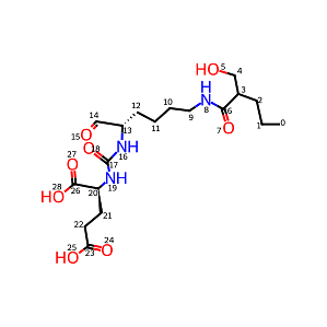 CCCC(CO)C(=O)NCCCC[C@@H](C=O)NC(=O)N[C@@H](CCC(=O)O)C(=O)O